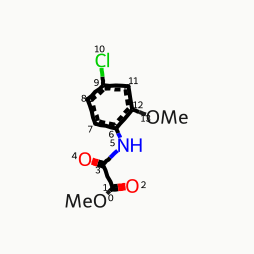 COC(=O)C(=O)Nc1ccc(Cl)cc1OC